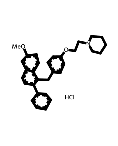 COc1ccc2c(Cc3ccc(OCCN4CCCCC4)cc3)c(-c3ccccc3)ccc2c1.Cl